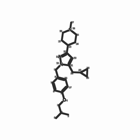 CC(C)COc1ccc(Cn2nc(C3CCN(C)CC3)cc2CC2CC2)cc1